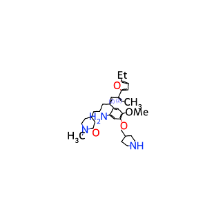 C/C=C(/C=C(/CCCC1CCN(C)C(=O)C1)c1cc(OC)c(OCC2CCNCC2)cc1N)c1ccc(CC)o1